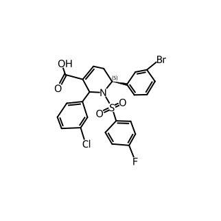 O=C(O)C1=CC[C@@H](c2cccc(Br)c2)N(S(=O)(=O)c2ccc(F)cc2)C1c1cccc(Cl)c1